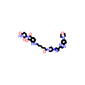 O=C1CCC(N2C(=O)c3ccc(NCCCCCC(=O)N4CCC(n5cc(-c6cnc7ccc(N8CCOCC8)cc7n6)cn5)CC4)cc3C2=O)C(=O)N1